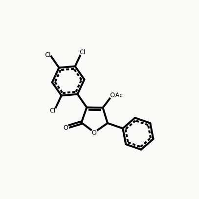 CC(=O)OC1=C(c2cc(Cl)c(Cl)cc2Cl)C(=O)OC1c1ccccc1